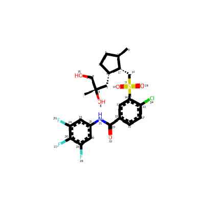 CC1CC[C@@H](C[C@](C)(O)CO)[C@H]1CS(=O)(=O)c1cc(C(=O)Nc2cc(F)c(F)c(F)c2)ccc1Cl